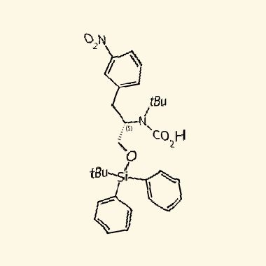 CC(C)(C)N(C(=O)O)[C@H](CO[Si](c1ccccc1)(c1ccccc1)C(C)(C)C)Cc1cccc([N+](=O)[O-])c1